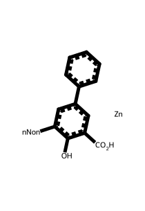 CCCCCCCCCc1cc(-c2ccccc2)cc(C(=O)O)c1O.[Zn]